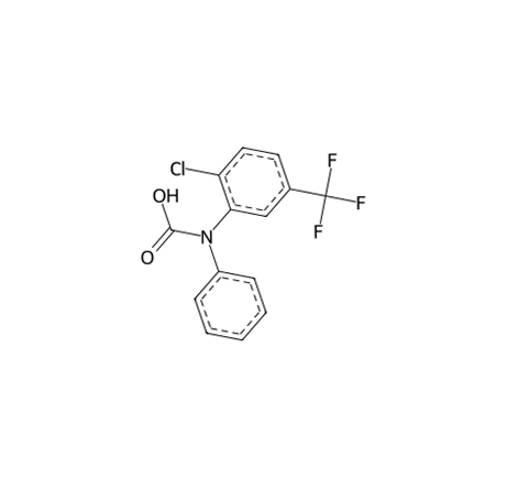 O=C(O)N(c1ccccc1)c1cc(C(F)(F)F)ccc1Cl